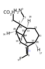 NC[C@@]1(CC(=O)O)[C@@H]2C/C(=C\F)[C@@H]3CC[C@H]1[C@H]2C3